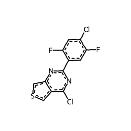 Fc1cc(-c2nc(Cl)c3cscc3n2)c(F)cc1Cl